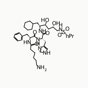 CCCS(=O)(=O)NC[C@@H](O)C[C@H](O)[C@H](CC1CCCCC1)NC(=O)[C@H](Cc1c[nH]cn1)NC(=O)[C@H](Cc1ccccc1)NC(=O)CCCCCN